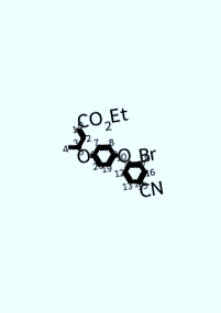 CCOC(=O)C=CC(C)Oc1ccc(Oc2ccc(C#N)cc2Br)cc1